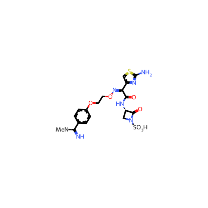 CNC(=N)c1ccc(OCCO/N=C(\C(=O)N[C@H]2CN(S(=O)(=O)O)C2=O)c2csc(N)n2)cc1